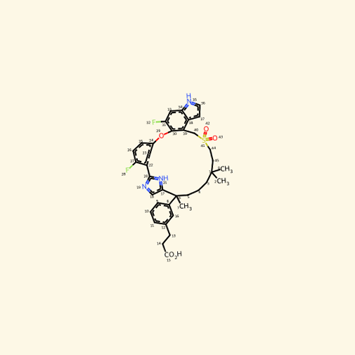 CC1(C)CCCC(C)(c2cccc(CCC(=O)O)c2)c2cnc([nH]2)-c2cc(ccc2F)Oc2c(F)cc3[nH]ccc3c2CS(=O)(=O)CC1